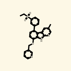 CCS(=O)(=O)c1cccc(-c2ccc(OCc3cccnc3)c3[nH]c4ncc(C)cc4c23)c1